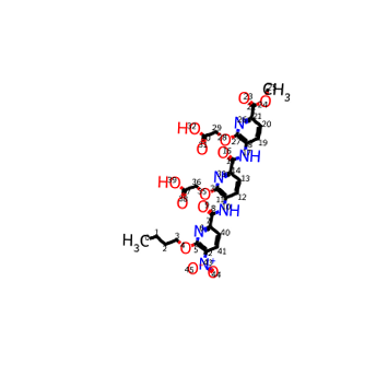 CCCCOc1nc(C(=O)Nc2ccc(C(=O)Nc3ccc(C(=O)OC)nc3OCC(=O)O)nc2OCC(=O)O)ccc1[N+](=O)[O-]